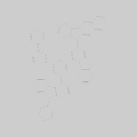 c1ccc(-c2cccc(C3N=C(c4cccc5c4c4ccccc4n5-c4ccccc4)N=C(c4cc(-n5c6ccccc6c6cc7ccccc7cc65)cc5oc6ccccc6c45)N3)c2)cc1